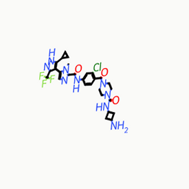 Cn1c(-c2c(C(F)(F)F)n[nH]c2C2CC2)cnc1C(=O)Nc1ccc(C(=O)N2CCN(C(=O)NC3CC(N)C3)CC2)c(Cl)c1